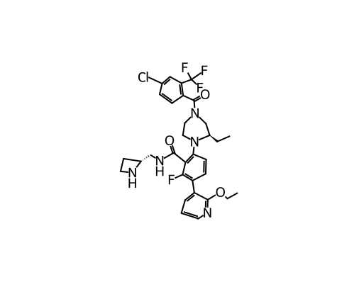 CCOc1ncccc1-c1ccc(N2CCN(C(=O)c3ccc(Cl)cc3C(F)(F)F)C[C@H]2CC)c(C(=O)NC[C@H]2CCN2)c1F